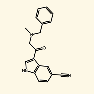 CN(CC(=O)c1c[nH]c2ccc(C#N)cc12)Cc1ccccc1